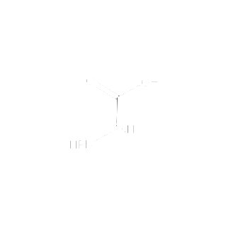 O=C(O)[AsH][PbH]